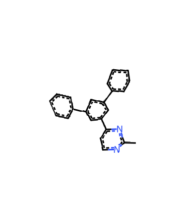 Cc1nccc(-c2cc(-c3ccccc3)cc(-c3ccccc3)c2)n1